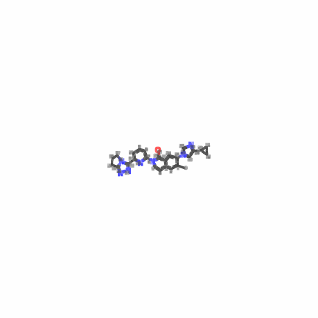 Cc1cc2ccn(-c3cccc(-c4nnc5n4CCC5)n3)c(=O)c2cc1-n1cnc(C2CC2)c1